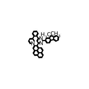 CC1(C)c2ccccc2-c2ccc(-c3nc(-c4ccccc4-c4cccnc4)cc(-c4ccc5ccc6cccc7ccc4c5c67)n3)cc21